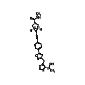 CNC(=O)N1C[C@@H]2C(C#Cc3ccc(-c4cc(Cn5ccnc5[C@H](C)O)no4)cc3)[C@@H]2C1